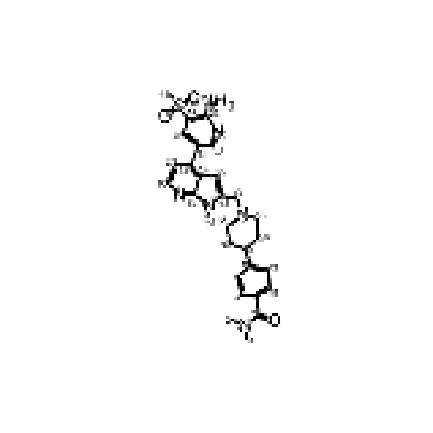 CN(C)C(=O)c1ccc(C2CCN(Cc3cc4c(-c5cnc(N)c(S(C)(=O)=O)c5)ccnc4n3C)CC2)cc1